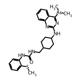 CSc1ccccc1NC(=O)NCC1CCC(Nc2nc([As](C)C)c3ccccc3n2)CC1